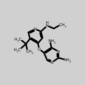 CCNc1cc(Oc2cnc(N)nc2N)c(C(C)(C)C)cn1